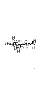 O=C(/C=C/c1cn([C@@H]2O[C@H](CO)C(O)[C@@H]2O)c(=O)[nH]c1=O)NCCc1cnc[nH]1